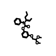 CC=C(CCC)N(C(=O)Oc1cccc(OCC(OC)OC)c1)c1ccccc1